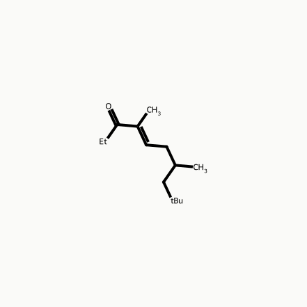 CCC(=O)C(C)=CCC(C)CC(C)(C)C